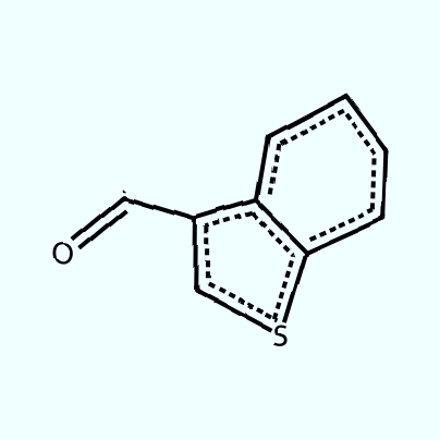 O=[C]c1csc2ccccc12